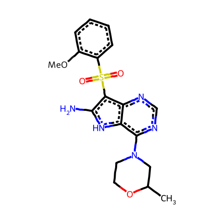 COc1ccccc1S(=O)(=O)c1c(N)[nH]c2c(N3CCOC(C)C3)ncnc12